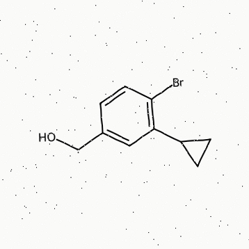 O[CH]c1ccc(Br)c(C2CC2)c1